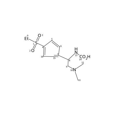 CCS(=O)(=O)c1ccc(C(CN(C)C)NC(=O)O)cc1